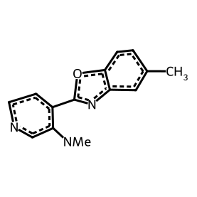 CNc1cnccc1-c1nc2cc(C)ccc2o1